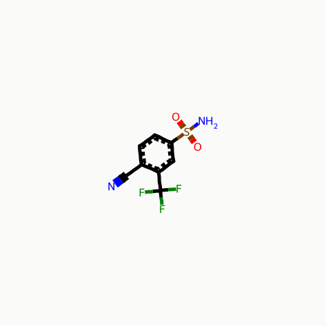 N#Cc1ccc(S(N)(=O)=O)cc1C(F)(F)F